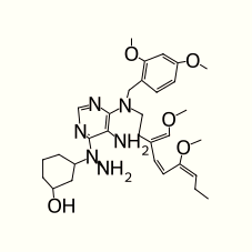 CC\C=C(/C=C\C(=C\OC)CCN(Cc1ccc(OC)cc1OC)c1ncnc(N(N)C2CCCC(O)C2)c1N)OC